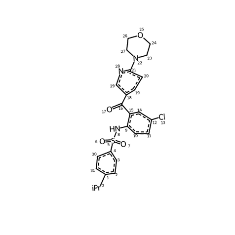 CC(C)c1ccc(S(=O)(=O)Nc2ccc(Cl)cc2C(=O)c2ccc(N3CCOCC3)nc2)cc1